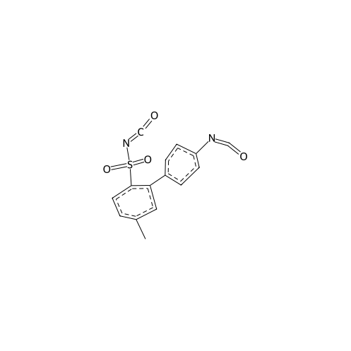 Cc1ccc(S(=O)(=O)N=C=O)c(-c2ccc(N=C=O)cc2)c1